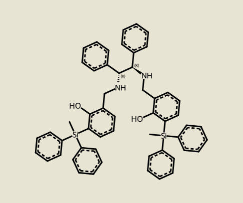 C[Si](c1ccccc1)(c1ccccc1)c1cccc(CN[C@H](c2ccccc2)[C@H](NCc2cccc([Si](C)(c3ccccc3)c3ccccc3)c2O)c2ccccc2)c1O